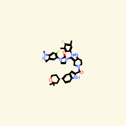 Cc1cc(-n2nc3c(c2-n2ccn(-c4cc5cnn(C)c5cc4F)c2=O)CN(C(=O)c2cc4cc([C@H]5CCOC(C)(C)C5)ccc4[nH]2)CC3)cc(C)c1F